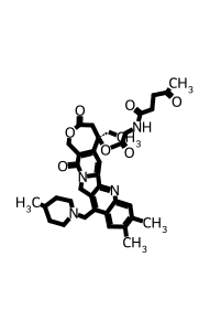 CC[C@@]1(OC(=O)CNC(=O)CCC(C)=O)CC(=O)OCc2c1cc1n(c2=O)Cc2c-1nc1cc(C)c(C)cc1c2CN1CCC(C)CC1